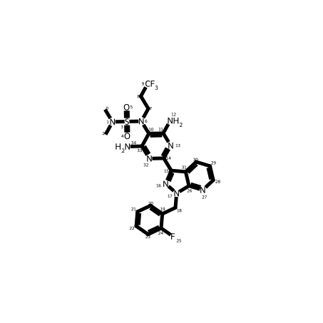 CN(C)S(=O)(=O)N(CCC(F)(F)F)c1c(N)nc(-c2nn(Cc3ccccc3F)c3ncccc23)nc1N